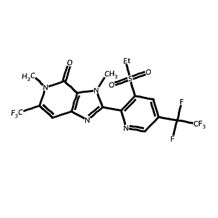 CCS(=O)(=O)c1cc(C(F)(F)C(F)(F)F)cnc1-c1nc2cc(C(F)(F)F)n(C)c(=O)c2n1C